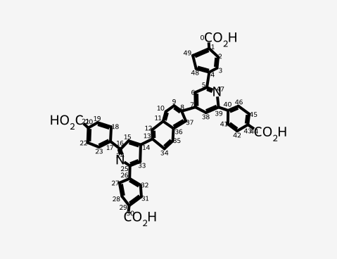 O=C(O)c1ccc(-c2cc(-c3ccc4cc(-c5cc(-c6ccc(C(=O)O)cc6)nc(-c6ccc(C(=O)O)cc6)c5)ccc4c3)cc(-c3ccc(C(=O)O)cc3)n2)cc1